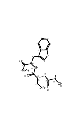 CNC(=O)[C@@H](Cc1csc2ccccc12)NC(=O)[C@H](CC(=O)NO)CC(C)C